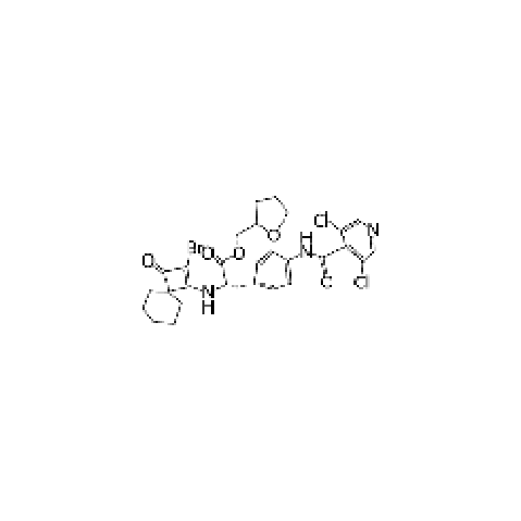 O=C(Nc1ccc(C[C@H](NC2=C(Br)C(=O)C23CCCCC3)C(=O)OCC2CCCO2)cc1)c1c(Cl)cncc1Cl